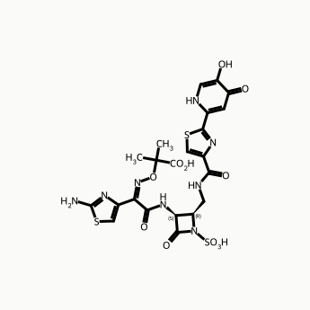 CC(C)(ON=C(C(=O)N[C@@H]1C(=O)N(S(=O)(=O)O)[C@@H]1CNC(=O)c1csc(-c2cc(=O)c(O)c[nH]2)n1)c1csc(N)n1)C(=O)O